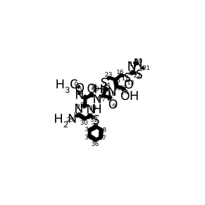 CO/N=C(\C(=O)NC1C(=O)N2C(C(=O)O)=C(CSc3nncs3)CS[C@H]12)c1nc(N)cc(Sc2ccccc2)n1